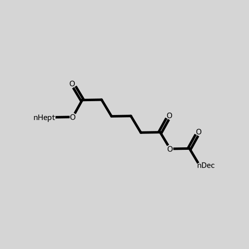 CCCCCCCCCCC(=O)OC(=O)CCCCC(=O)OCCCCCCC